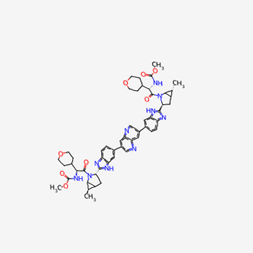 COC(=O)N[C@H](C(=O)N1C2C(C[C@H]1c1nc3ccc(-c4cnc5cc(-c6ccc7nc([C@@H]8CC9C([C@@H]9C)N8C(=O)[C@@H](NC(=O)OC)C8CCOCC8)[nH]c7c6)cnc5c4)cc3[nH]1)[C@H]2C)C1CCOCC1